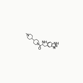 CN1CCC(C2CCN(C(=O)C(N)Cc3ccc4[nH]nnc4c3)CC2)CC1